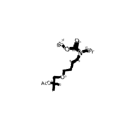 CC(=O)OC(C)(C)COCCCCN(C(=O)OC(C)(C)C)C(C)C